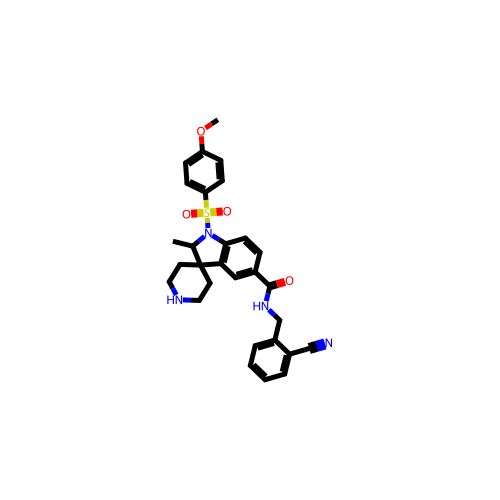 COc1ccc(S(=O)(=O)N2c3ccc(C(=O)NCc4ccccc4C#N)cc3C3(CCNCC3)C2C)cc1